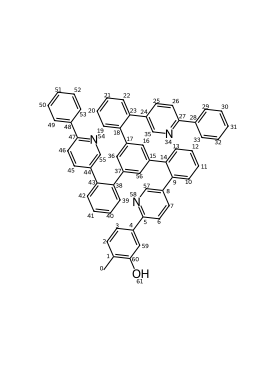 Cc1ccc(-c2ccc(-c3ccccc3-c3cc(-c4ccccc4-c4ccc(-c5ccccc5)nc4)cc(-c4ccccc4-c4ccc(-c5ccccc5)nc4)c3)cn2)cc1O